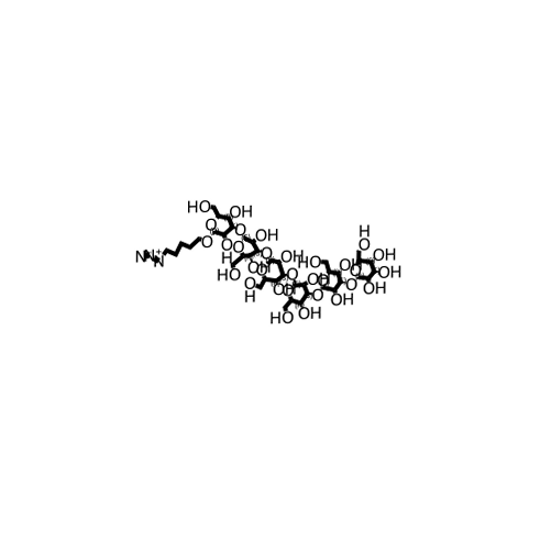 [N-]=[N+]=NCCCCCO[C@@H]1OC(CO)[C@@H](O)[C@H](O[C@@H]2OC(CO)[C@@H](O)[C@H](O[C@@H]3OC(CO)[C@@H](O)[C@H](O[C@@H]4OC(CO)[C@@H](O)[C@H](O[C@@H]5OC(CO)[C@@H](O)[C@H](O[C@@H]6OC(CO)[C@@H](O)[C@H](O)C6O)C5O)C4O)C3O)C2O)C1O